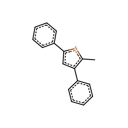 Cc1sc(-c2ccccc2)cc1-c1ccccc1